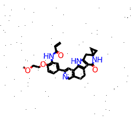 C=CC(=O)Nc1cc(-c2cc3c(cn2)CCc2c-3[nH]c3c2C(=O)NC2(CC2)C3)ccc1OCCOC